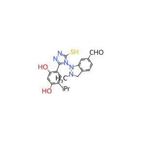 CC(C)c1cc(-c2nnc(S)n2N2c3cc(C=O)ccc3CN2C)c(O)cc1O